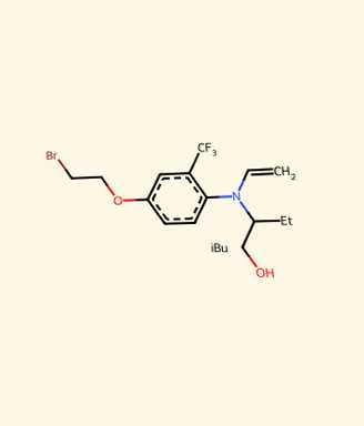 C=CN(c1c([C@H](C)CC)cc(OCCBr)cc1C(F)(F)F)C(CC)CO